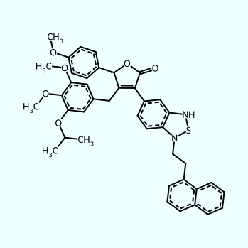 COc1ccc([C]2OC(=O)C(c3ccc4c(c3)NSN4CCc3cccc4ccccc34)=C2Cc2cc(OC)c(OC)c(OC(C)C)c2)cc1